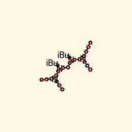 CCC(C)c1ccc(N(c2ccc(-c3ccc(N(c4ccc(-c5ccc(-c6ccccc6)cc5)cc4)c4ccc(-c5ccc(-c6ccccc6)cc5)cc4)cc3)cc2)c2ccc(-c3cccc(-c4ccc(N(c5ccc(-c6ccc(N(c7ccc(-c8ccc(-c9ccccc9)cc8)cc7)c7ccc(-c8ccc(-c9ccc(-c%10ccccc%10)cc9)cc8)cc7)cc6)cc5)c5ccc(C(C)CC)cc5)cc4)c3)cc2)cc1